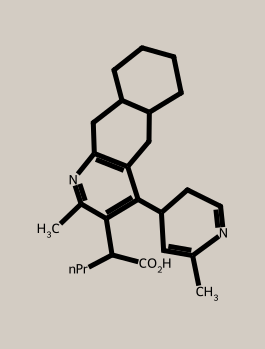 CCCC(C(=O)O)c1c(C)nc2c(c1C1C=C(C)N=CC1)CC1CCCCC1C2